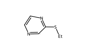 CCSc1[c]nccn1